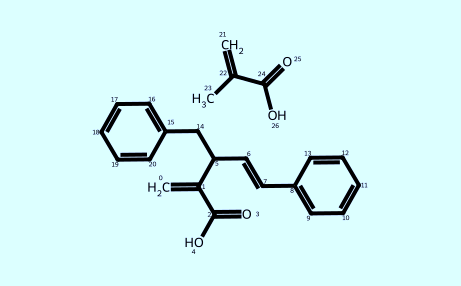 C=C(C(=O)O)C(C=Cc1ccccc1)Cc1ccccc1.C=C(C)C(=O)O